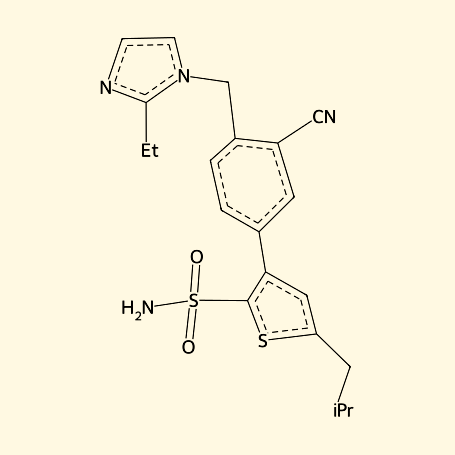 CCc1nccn1Cc1ccc(-c2cc(CC(C)C)sc2S(N)(=O)=O)cc1C#N